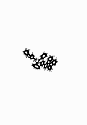 c1ccc(-c2nc(-c3ccc4c(c3)oc3ccccc34)nc(-c3ccccc3-c3cccc(-c4cccc5c4-c4ccccc4C54c5ccccc5-c5ccccc54)c3)n2)cc1